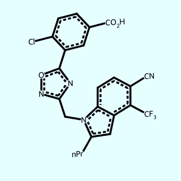 CCCc1cc2c(C(F)(F)F)c(C#N)ccc2n1Cc1noc(-c2cc(C(=O)O)ccc2Cl)n1